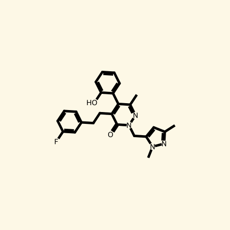 Cc1cc(Cn2nc(C)c(-c3ccccc3O)c(CCc3cccc(F)c3)c2=O)n(C)n1